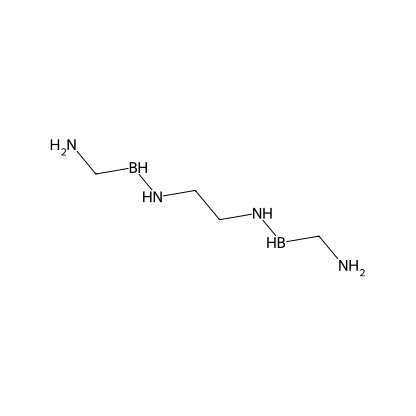 NCBNCCNBCN